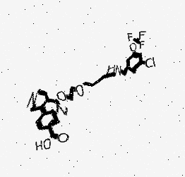 O=C(O)c1ccc2c(c1)nc(OCCOCCCCNCc1cc(Cl)cc(OC(F)(F)F)c1)c1ccncc12